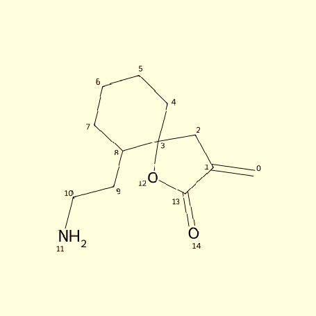 C=C1CC2(CCCCC2CCN)OC1=O